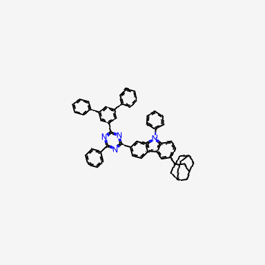 c1ccc(-c2cc(-c3ccccc3)cc(-c3nc(-c4ccccc4)nc(-c4ccc5c6cc(C78CC9CC(CC(C9)C7)C8)ccc6n(-c6ccccc6)c5c4)n3)c2)cc1